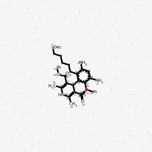 CCCCCCCCCCCCCCCc1c(N)cc(N)c(OC(C)C)c1C1C(C(=O)OC(C)C)=C(C)NC(C)=C1C(=O)OC(C)C